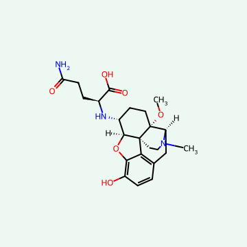 CO[C@@]12CC[C@@H](N[C@@H](CCC(N)=O)C(=O)O)[C@@H]3Oc4c(O)ccc5c4[C@@]31CCN(C)[C@@H]2C5